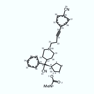 CNC(=O)O[C@H]1CCC[C@@H]1C(C#N)(c1ccccc1)C1CCN(CCC#Cc2ccc(C#N)cc2)CC1